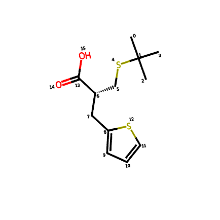 CC(C)(C)SC[C@H](Cc1cccs1)C(=O)O